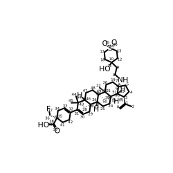 C=C(C)[C@@H]1CC[C@]2(NCCC3(O)CCS(=O)(=O)CC3)CC[C@]3(C)[C@H](CC[C@@H]4[C@@]5(C)CC=C(C6=CC[C@](CF)(C(=O)O)CC6)C(C)(C)[C@@H]5CC[C@]43C)[C@@H]12